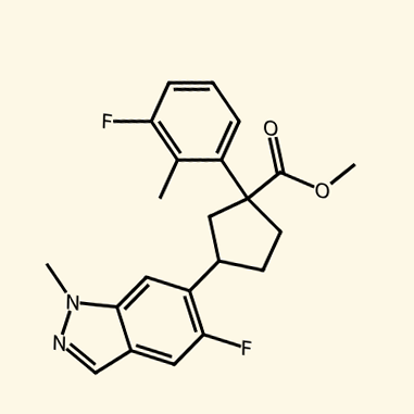 COC(=O)C1(c2cccc(F)c2C)CCC(c2cc3c(cnn3C)cc2F)C1